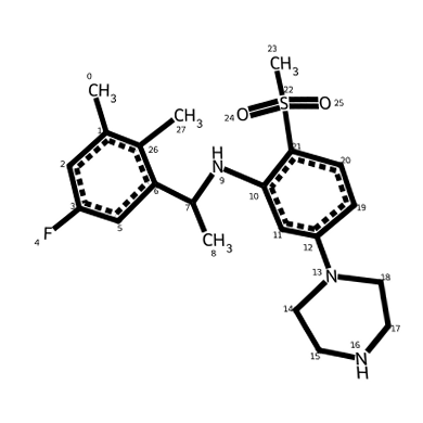 Cc1cc(F)cc(C(C)Nc2cc(N3CCNCC3)ccc2S(C)(=O)=O)c1C